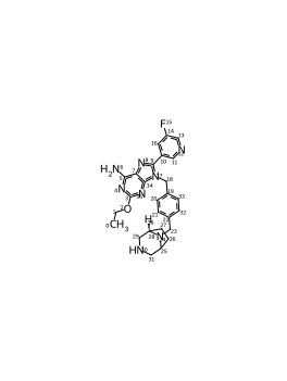 CCOc1nc(N)c2nc(-c3cncc(F)c3)n(Cc3ccc(CN4C5CC[C@H]4CNC5)cc3)c2n1